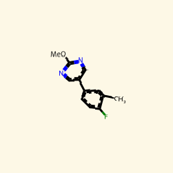 COc1n[c]c(-c2ccc(F)c(C)c2)cn1